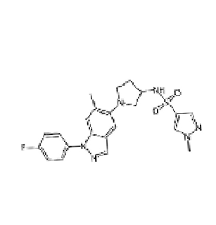 Cc1cc2c(cnn2-c2ccc(F)cc2)cc1N1CCC(NS(=O)(=O)c2cnn(C)c2)C1